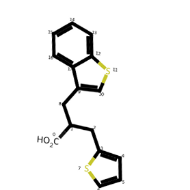 O=C(O)C(Cc1cccs1)Cc1csc2ccccc12